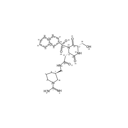 N=C(N)N1CCC[C@@H](CNC(=O)C[C@H]2C(=O)N[C@@H](CO)C(=O)N2S(=O)(=O)c2ccc3ccccc3c2)C1